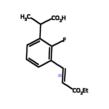 CCOC(=O)/C=C/c1cccc(C(C)C(=O)O)c1F